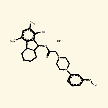 COc1cccc(N2CCN(CC(=O)NC3c4c(O)c(C)cc(C)c4C4CCCCC43)CC2)c1.Cl